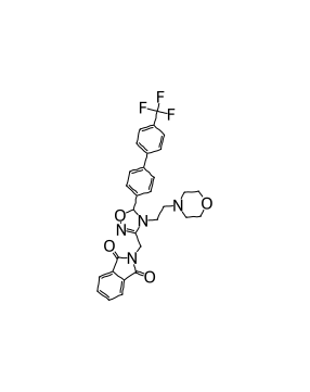 O=C1c2ccccc2C(=O)N1CC1=NOC(c2ccc(-c3ccc(C(F)(F)F)cc3)cc2)N1CCN1CCOCC1